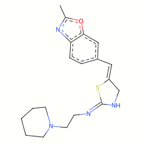 Cc1nc2ccc(C=C3CNC(=NCCN4CCCCC4)S3)cc2o1